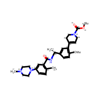 COc1ccc([C@@H](C)NC(=O)c2cc(N3CCN(C)CC3)ccc2C)cc1C1=CCN(C(=O)OC(C)(C)C)CC1